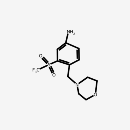 Nc1ccc(CN2CCOCC2)c(S(=O)(=O)C(F)(F)F)c1